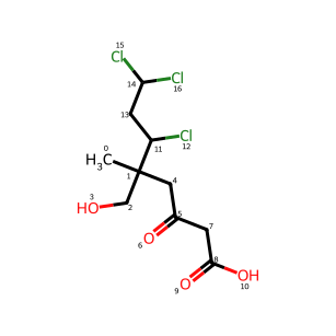 CC(CO)(CC(=O)CC(=O)O)C(Cl)CC(Cl)Cl